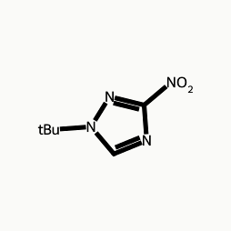 CC(C)(C)n1cnc([N+](=O)[O-])n1